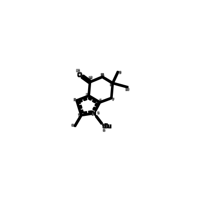 Cc1cc2c(n1C(C)(C)C)CC(C)(C)CC2=O